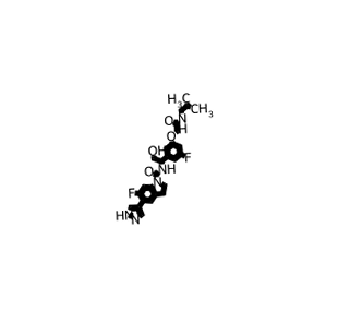 CC(C)CNC(=O)COc1cc(F)cc(C(CO)NC(=O)N2CCc3cc(-c4cn[nH]c4)c(F)cc32)c1